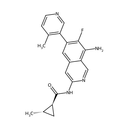 Cc1ccncc1-c1cc2cc(NC(=O)[C@H]3C[C@@H]3C)ncc2c(N)c1F